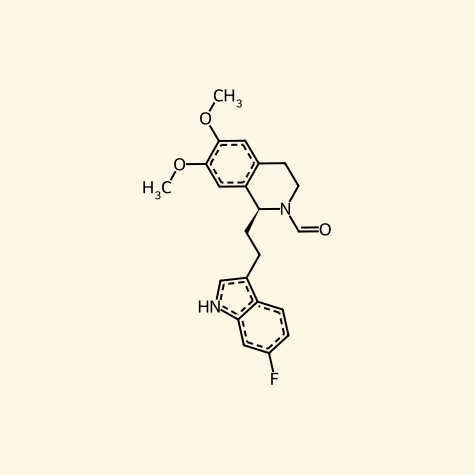 COc1cc2c(cc1OC)[C@H](CCc1c[nH]c3cc(F)ccc13)N(C=O)CC2